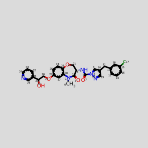 CN1C(=O)[C@@H](NC(=O)n2cc(Cc3cccc(F)c3)cn2)COc2ccc(OCC(O)c3cccnc3)cc21